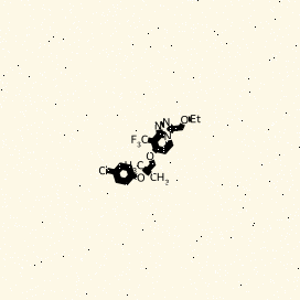 CCOCc1nnc2c(C(F)(F)F)c(OCC(C)(C)Oc3ccc(Cl)cc3)ccn12